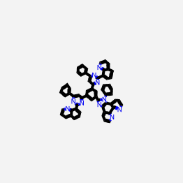 c1ccc(-c2cc(-c3cc(-c4cc(-c5ccccc5)nc(-c5cccc6cccnc56)n4)cc(-c4nc5c6cccnc6c6ncccc6c5n4-c4ccccc4)c3)nc(-c3cccc4cccnc34)n2)cc1